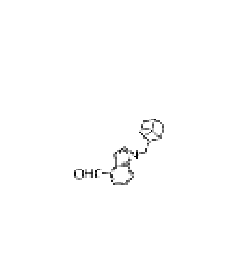 CC1(C)C2CCC(Cn3ccc4c(C=O)cccc43)C1C2